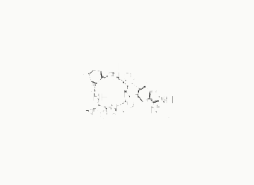 C[C@@H]1C(=O)N[C@H](Cc2ccc(C(=N)N)cc2)C(=O)NCc2ccccc2CN[C@@H](C2CC2)C(=O)N1C